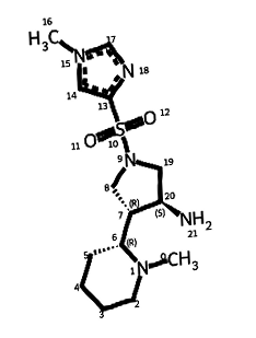 CN1CCCC[C@@H]1[C@@H]1CN(S(=O)(=O)c2cn(C)cn2)C[C@H]1N